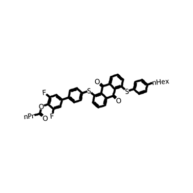 CCCCCCc1ccc(Sc2cccc3c2C(=O)c2cccc(Sc4ccc(-c5cc(F)c(OC(=O)CCC)c(F)c5)cc4)c2C3=O)cc1